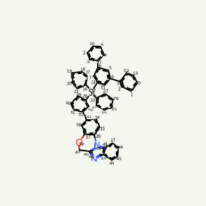 c1ccc(-c2cc(-c3ccccc3)cc([Si](c3ccccc3)(c3ccccc3)c3cccc(-c4ccc5c(c4)OCc4nc6ccccc6n4-5)c3)c2)cc1